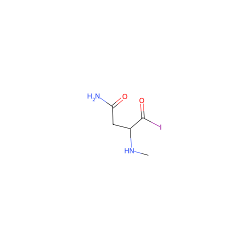 CNC(CC(N)=O)C(=O)I